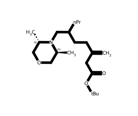 C=C(CCC(CCC)CN1[C@@H](C)COC[C@@H]1C)CC(=O)OC(C)(C)C